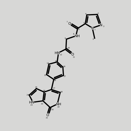 Cn1nccc1C(=O)NCC(=O)Nc1ccc(-c2c[nH]c(=O)c3[nH]ccc23)cc1